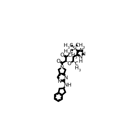 CC(=O)[C@H](O[C@@H](C)Cc1[nH]nnc1[Si](C)(C)C)C(=O)N1Cc2cnc(NC3Cc4ccccc4C3)nc2C1